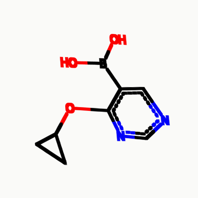 OB(O)c1cncnc1OC1CC1